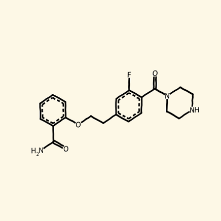 NC(=O)c1ccccc1OCCc1ccc(C(=O)N2CCNCC2)c(F)c1